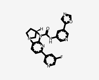 O=C(Nc1cncc(-c2cnco2)c1)N1c2nc(-c3cncc(F)c3)ccc2N2CC[C@H]1C2